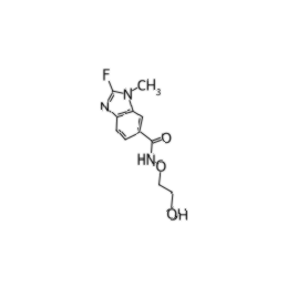 Cn1c(F)nc2ccc(C(=O)NOCCO)cc21